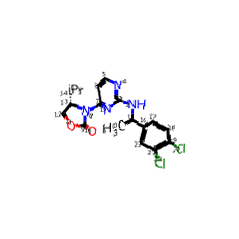 CC(Nc1nccc(N2C(=O)OC[C@@H]2C(C)C)n1)c1ccc(Cl)c(Cl)c1